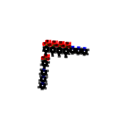 Cc1ccc(S(=O)(=O)O)cc1.Cc1ccc(S(=O)(=O)O)cc1.Cc1ccc(S(=O)(=O)O)cc1.Cc1ccc(S(=O)(=O)O)cc1.Cc1ccc(S(=O)(=O)O)cc1.c1ccncc1.c1ccncc1.c1ccncc1.c1ccncc1.c1ccncc1.c1ccncc1